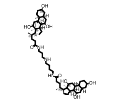 C[C@H](CCC(=O)NCCCNCCCCNC(=O)CC[C@@H](C)[C@@H]1CC[C@H]2[C@@H]3[C@H](O)C[C@@H]4C[C@H](O)CC[C@]4(C)[C@H]3C[C@H](O)[C@@]21C)[C@H]1CC[C@H]2[C@@H]3[C@H](O)C[C@@H]4C[C@H](O)CC[C@]4(C)[C@H]3C[C@H](O)[C@]12C